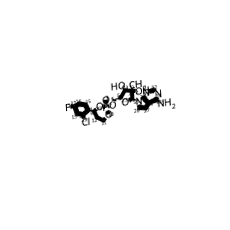 C[C@@]1(O)[C@H](O)[C@@H](COP2(=O)OCC[C@H](c3ccc(F)cc3Cl)O2)O[C@H]1n1ccc2c(N)ncnc21